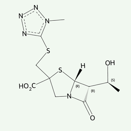 C[C@H](O)[C@@H]1C(=O)N2CC(CSc3nnnn3C)(C(=O)O)S[C@H]12